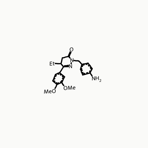 CCC1CC(=O)N(Cc2ccc(N)cc2)N=C1c1ccc(OC)c(OC)c1